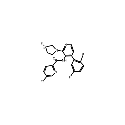 O=C(Nc1c(-c2cc(F)ccc2F)ccnc1N1CC[C@H](F)C1)c1ccc(Cl)cn1